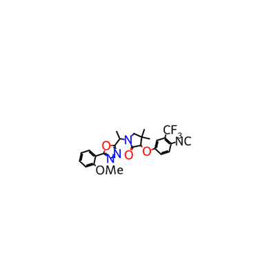 [C-]#[N+]c1ccc(OC2C(=O)N(C(C)c3nnc(-c4ccccc4OC)o3)CC2(C)C)cc1C(F)(F)F